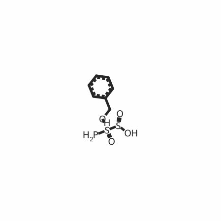 O=S(O)[SH](=O)(P)OCc1ccccc1